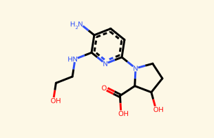 Nc1ccc(N2CCC(O)C2C(=O)O)nc1NCCO